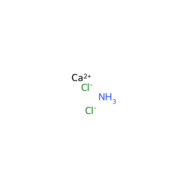 N.[Ca+2].[Cl-].[Cl-]